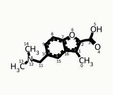 Cc1c(C(=O)O)oc2ccc(CN(C)C)cc12